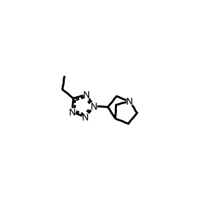 CCc1nnn(C2CN3CCC2C3)n1